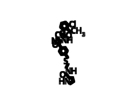 Cc1noc(-c2ccc(CSCCNC(=O)c3ccc[nH]3)cc2)c1NC(=O)OC(C)c1ccccc1Cl